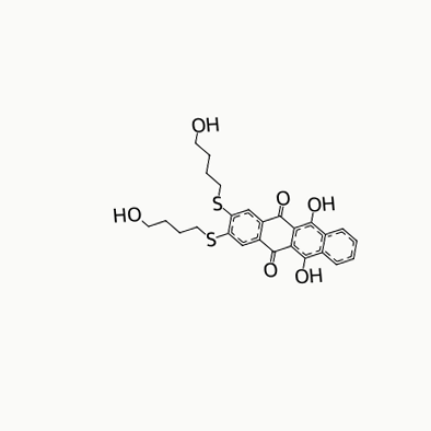 O=C1c2cc(SCCCCO)c(SCCCCO)cc2C(=O)c2c1c(O)c1ccccc1c2O